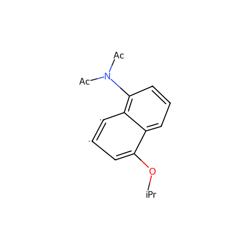 CC(=O)N(C(C)=O)c1cccc2c(OC(C)C)c[c][c]c12